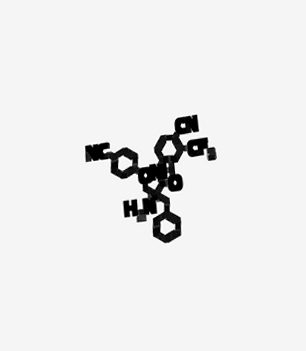 N#Cc1ccc(OC[C@@](N)(Cc2ccccc2)C(=O)Nc2ccc(C#N)c(C(F)(F)F)c2)cc1